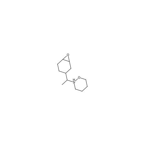 CC(C1CCC2OC2C1)[SiH]1CCCCO1